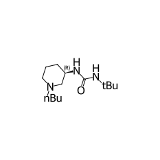 CCCCN1CCC[C@@H](NC(=O)NC(C)(C)C)C1